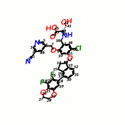 N#Cc1cncc(COc2cc(O[C@H]3CCc4c(-c5cc6c(c(F)c5F)OCCO6)cccc43)c(Cl)cc2CN[C@@H](CO)C(=O)O)c1